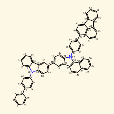 c1ccc(-c2ccc(-n3c4ccccc4c4cc(-c5ccc6c(c5)c5ccc7ccccc7c5n6-c5ccc(-c6ccc7c8c(cccc68)-c6ccccc6-7)cc5)ccc43)cc2)cc1